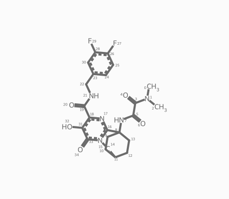 CN(C)C(=O)C(=O)NC12CCC(CC1)Cn1c2nc(C(=O)NCc2ccc(F)c(F)c2)c(O)c1=O